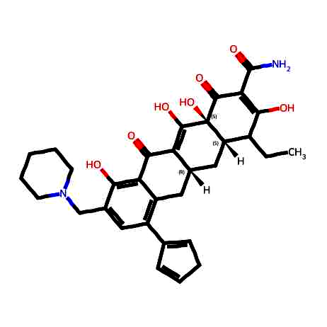 CCC1C(O)=C(C(N)=O)C(=O)[C@@]2(O)C(O)=C3C(=O)c4c(O)c(CN5CCCCC5)cc(C5=CCC=C5)c4C[C@H]3C[C@@H]12